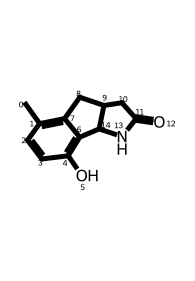 Cc1ccc(O)c2c1CC1CC(=O)NC21